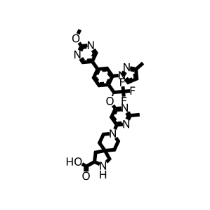 COc1ncc(-c2ccc([C@@H](Oc3cc(N4CCC5(CC4)CNC(C(=O)O)C5)nc(C)n3)C(F)(F)F)c(-n3ccc(C)n3)c2)cn1